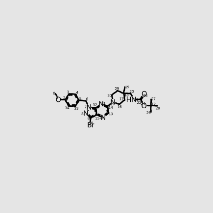 COc1ccc(Cn2nc(Br)c3ncc(N4CCC(C)(CNC(=O)OC(C)(C)C)CC4)nc32)cc1